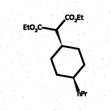 CCC[C@H]1CC[C@H](C(C(=O)OCC)C(=O)OCC)CC1